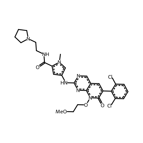 COCCOn1c(=O)c(-c2c(Cl)cccc2Cl)cc2cnc(Nc3cc(C(=O)NCCN4CCCC4)n(C)c3)nc21